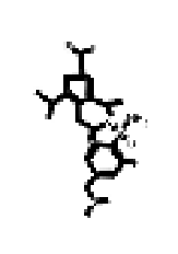 CC(C)c1cc(C(F)F)cc(C(C)C)c1CC(=O)N=S(N)(=O)c1ccc(CN(C)C)cc1F